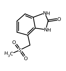 CS(=O)(=O)Cc1cccc2[nH]c(=O)[nH]c12